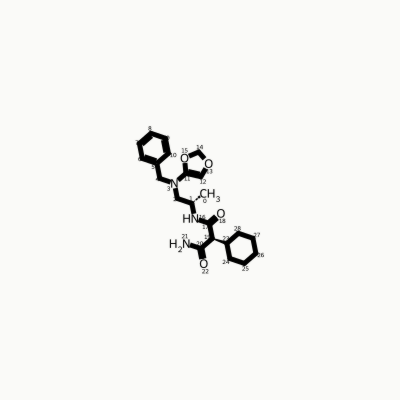 C[C@@H](CN(Cc1ccccc1)C1=COCO1)NC(=O)[C@H](C(N)=O)C1CCCCC1